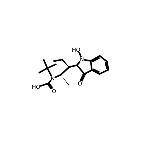 CC[C@@H](C1C(=O)c2ccccc2N1O)[C@H](C)N(C(=O)O)C(C)(C)C